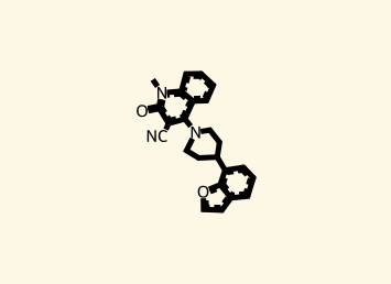 Cn1c(=O)c(C#N)c(N2CCC(c3cccc4ccoc34)CC2)c2ccccc21